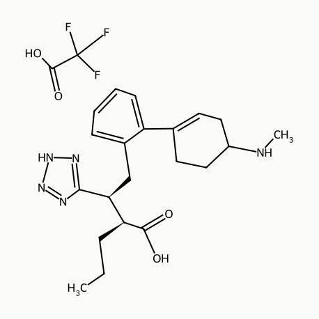 CCC[C@H](C(=O)O)[C@H](Cc1ccccc1C1=CCC(NC)CC1)c1nn[nH]n1.O=C(O)C(F)(F)F